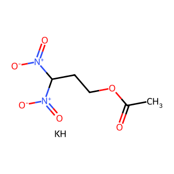 CC(=O)OCCC([N+](=O)[O-])[N+](=O)[O-].[KH]